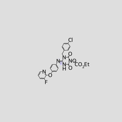 CCOC(=O)On1c(=O)[nH]/c(=N\c2ccc(Oc3ncccc3F)cc2)n(Cc2ccc(Cl)cc2)c1=O